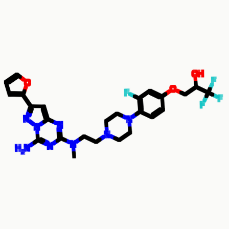 CN(CCN1CCN(c2ccc(OCC(O)C(F)(F)F)cc2F)CC1)c1nc(N)n2nc(-c3ccco3)cc2n1